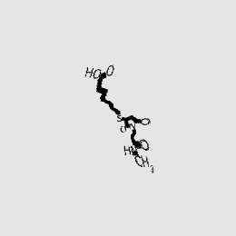 CNC(=O)CCN1C(=O)CC(SCCCCCCC(=O)O)C1=O